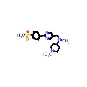 CN(Cc1cnc(-c2ccc(S(C)(=O)=O)cc2)nc1)C1CCN(C(=O)O)CC1